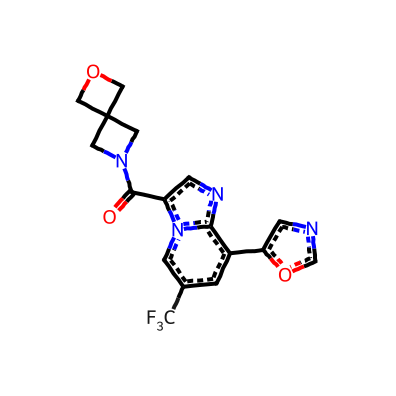 O=C(c1cnc2c(-c3cnco3)cc(C(F)(F)F)cn12)N1CC2(COC2)C1